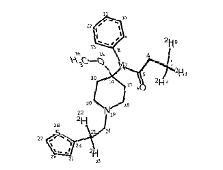 [2H]C([2H])([2H])CC(=O)N(c1ccccc1)C1(OC)CCN(CC([2H])([2H])c2cccs2)CC1